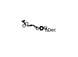 CCCCCCCCCCOc1ccc(OCCCC#CCOC(=O)C2CC2)cc1